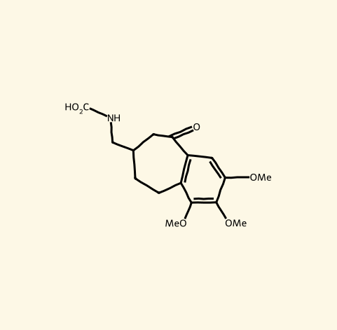 COc1cc2c(c(OC)c1OC)CCC(CNC(=O)O)CC2=O